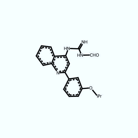 CC(C)Oc1cccc(-c2cc(NC(=N)NC=O)c3ccccc3n2)c1